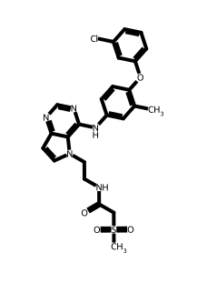 Cc1cc(Nc2ncnc3ccn(CCNC(=O)CS(C)(=O)=O)c23)ccc1Oc1cccc(Cl)c1